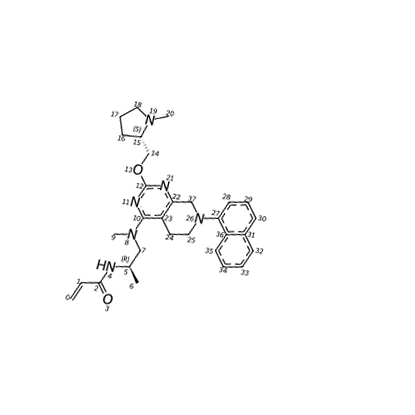 C=CC(=O)N[C@H](C)CN(C)c1nc(OC[C@@H]2CCCN2C)nc2c1CCN(c1cccc3ccccc13)C2